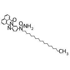 CCCCCCCCCCCCCCCCCCN(C(N)=O)c1ccc2nc3c4cccc5cccc(c(=O)n3c2c1)c54